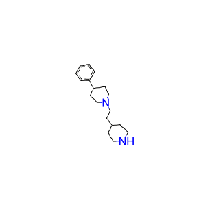 c1ccc(C2CCN(CCC3CCNCC3)CC2)cc1